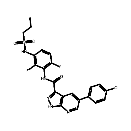 CCCS(=O)(=O)Nc1ccc(F)c(NC(=O)c2n[nH]c3ncc(-c4ccc(Cl)cc4)cc23)c1F